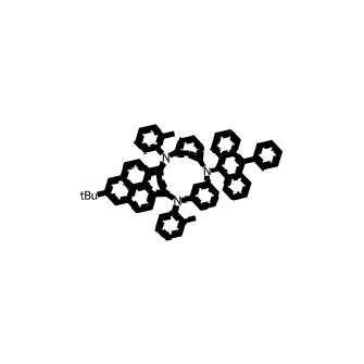 Cc1ccccc1N1c2cccc(c2)N(c2c3ccccc3c(-c3ccccc3)c3ccccc23)c2cccc(c2)N(c2ccccc2C)c2cc1c1ccc3cc(C(C)(C)C)cc4ccc2c1c34